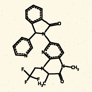 CC1C(=O)N(C)c2ccc(N3C(=O)c4ccccc4C3c3cccnc3)nc2N1CC(F)(F)F